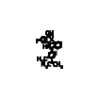 Cc1cc([C@@H](NC(=O)C2CC(F)CN2C(=O)O)c2ccccc2)ncc1C(C)C